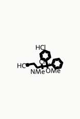 C#CCCC(C)(NC)C(OC)(c1ccccc1)c1ccccc1.Cl